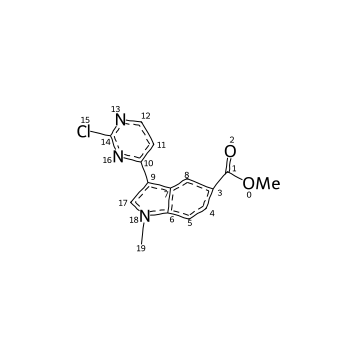 COC(=O)c1ccc2c(c1)c(-c1ccnc(Cl)n1)cn2C